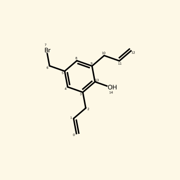 C=CCc1cc(CBr)cc(CC=C)c1O